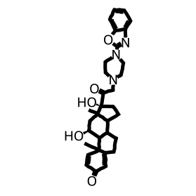 CC12C=CC(=O)C=C1CCC1C2[C@@H](O)CC2(C)C1CC[C@]2(O)C(=O)CN1CCN(c2nc3ccccc3o2)CC1